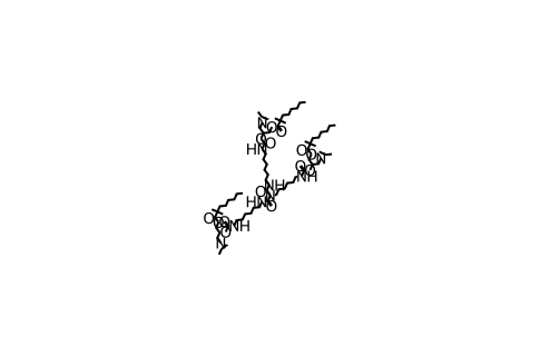 CCCCCCC(C)(C)C(=O)OCC(CN1CC1C)OC(=O)NCCCCCCNC(=O)N(CCCCCCNC(=O)OC(COC(=O)C(C)(C)CCCCCC)CN1CC1C)C(=O)NCCCCCCNC(=O)OC(COC(=O)C(C)(C)CCCCCC)CN1CC1C